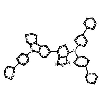 c1ccc(-c2ccc(N(c3ccc(-c4ccccc4)cc3)c3ccc(-c4ccc5c(c4)c4ccccc4n5-c4ccc(-c5ccccc5)cc4)c4nsnc34)cc2)cc1